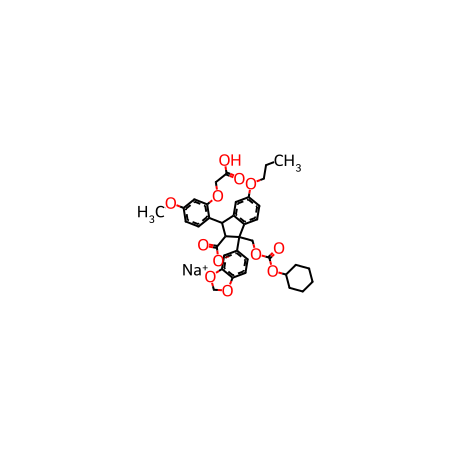 CCCOc1ccc2c(c1)C(c1ccc(OC)cc1OCC(=O)O)C(C(=O)[O-])C2(COC(=O)OC1CCCCC1)c1ccc2c(c1)OCO2.[Na+]